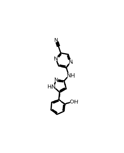 N#Cc1cnc(Nc2cc(-c3ccccc3O)[nH]n2)cn1